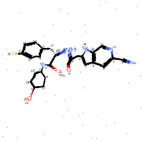 N#Cc1cc2cc(C(=O)N[C@@H](Cc3ccc(F)cc3)C(=O)NC3CCC(O)CC3)[nH]c2cn1